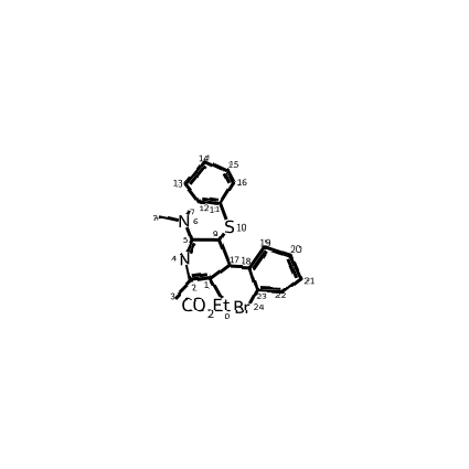 CCOC(=O)C1=C(C)N=C(N(C)C)C(Sc2ccccc2)C1c1ccccc1Br